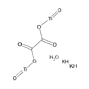 O.[KH].[KH].[O]=[Ti][O]C(=O)C(=O)[O][Ti]=[O]